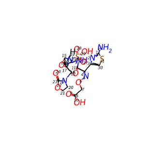 Nc1nc(/C(=N/OCC(=O)O)C(=O)N[C@H]2C3OC2(CN2CCOC2=O)N3S(=O)(=O)O)cs1